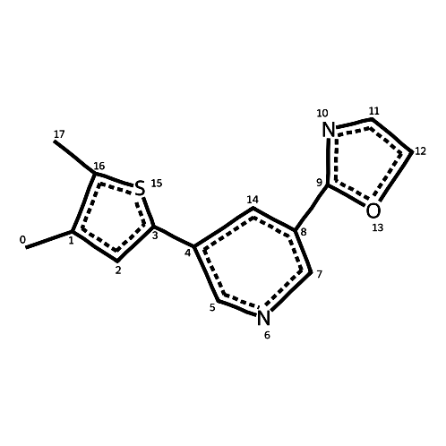 Cc1cc(-c2cncc(-c3ncco3)c2)sc1C